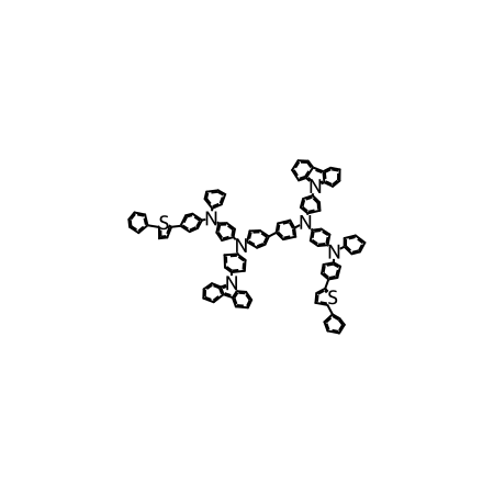 c1ccc(-c2ccc(-c3ccc(N(c4ccccc4)c4ccc(N(c5ccc(-c6ccc(N(c7ccc(N(c8ccccc8)c8ccc(-c9ccc(-c%10ccccc%10)s9)cc8)cc7)c7ccc(-n8c9ccccc9c9ccccc98)cc7)cc6)cc5)c5ccc(-n6c7ccccc7c7ccccc76)cc5)cc4)cc3)s2)cc1